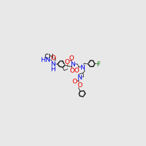 CNC(=O)Nc1ccc2c(c1)CC[C@@]21OC(=O)N(CC(=O)N(Cc2ccc(F)cc2)CC2CN(C(=O)OCc3ccccc3)C2)C1=O